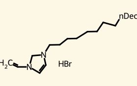 Br.C=CN1C=CN(CCCCCCCCCCCCCCCCCC)C1